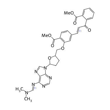 COC(=O)c1ccc(/C=C/C(=O)c2ccccc2C(=O)OC)cc1OCC1CCC(n2cnc3c(/N=C/N(C)C)ncnc32)O1